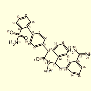 CCCN(C(=O)Cc1ccc(-c2ccccc2S(N)(=O)=O)cc1)C(Cc1cccc(C(=N)N)c1)c1ccccc1